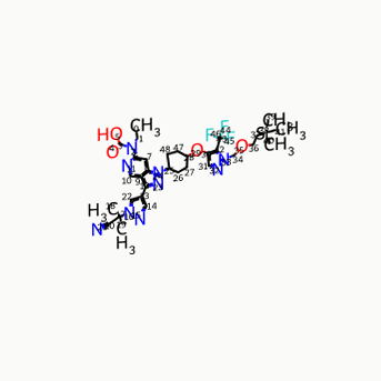 CCN(C(=O)O)c1cc2c(cn1)c(-c1cnn(C(C)(C)C#N)c1)nn2C1CCC(Oc2cnn(COCC[Si](C)(C)C)c2C(F)(F)F)CC1